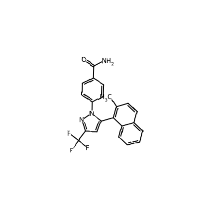 Cc1ccc2ccccc2c1-c1cc(C(F)(F)F)nn1-c1ccc(C(N)=O)cc1